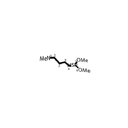 CNCCCC[SiH](OC)OC